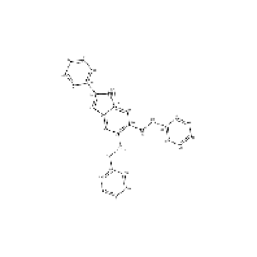 c1ccc(COc2cc3cc(-c4ccccc4)[nH]c3cc2OCc2ccccc2)cc1